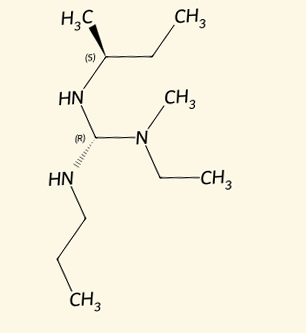 CCCN[C@H](N[C@@H](C)CC)N(C)CC